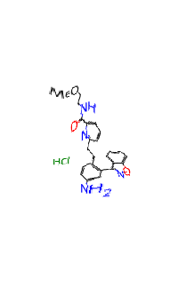 COCCNC(=O)c1cccc(CCc2ccc(N)cc2-c2noc3ccccc23)n1.Cl